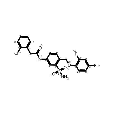 NS(=O)(=O)c1cc(NC(=O)Cc2ccccc2Cl)ccc1COc1ccc(F)cc1F